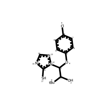 CC(C)(C)C(O)C(Oc1ccc(Cl)cc1)n1ncnc1S